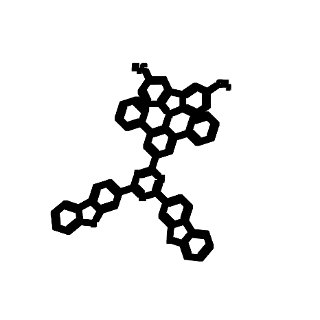 Cc1ccc2c(c1)c1cc(C)ccc1n2-c1c(-c2ccccc2)cc(-c2nc(-c3ccc4c(c3)sc3ccccc34)nc(-c3ccc4c(c3)sc3ccccc34)n2)cc1-c1ccccc1